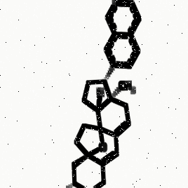 C[C@]12CC=C3C=C4CC[C@H](N)C[C@]45CCC3(O5)[C@@H]1CC[C@@H]2c1ccc2ccncc2c1